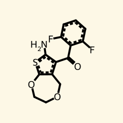 Nc1sc2c(c1C(=O)c1c(F)cccc1F)COCCO2